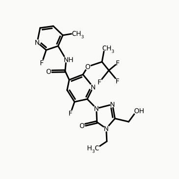 CCn1c(CO)nn(-c2nc(OC(C)C(F)(F)F)c(C(=O)Nc3c(C)ccnc3F)cc2F)c1=O